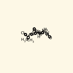 CC1(C)CCC(CN2CCN(c3ccc(C(=O)NS(=O)(=O)c4ccc(NC5CCN(C6CCOCC6)CC5)c([N+](=O)[O-])c4)c(Oc4ccccc4Cl)c3)CC2)=C(c2ccc(Cl)cc2)C1